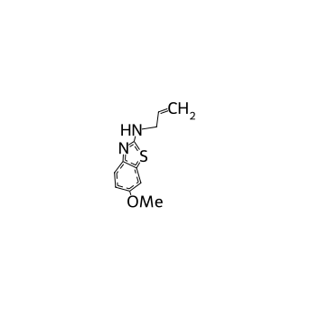 C=CCNc1nc2ccc(OC)cc2s1